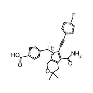 C[C@@H](c1ccc(C(=O)O)cc1)[SH]1C(C#Cc2ccc(F)cc2)=C(C(N)=O)C2=C1COC(C)(C)C2